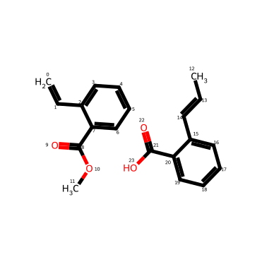 C=Cc1ccccc1C(=O)OC.CC=Cc1ccccc1C(=O)O